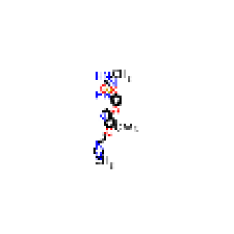 COc1cc2c(Oc3cccc(NS(=O)(=O)c4c[nH]c(C)n4)c3)ccnc2cc1OCCCN1CCN(C)CC1